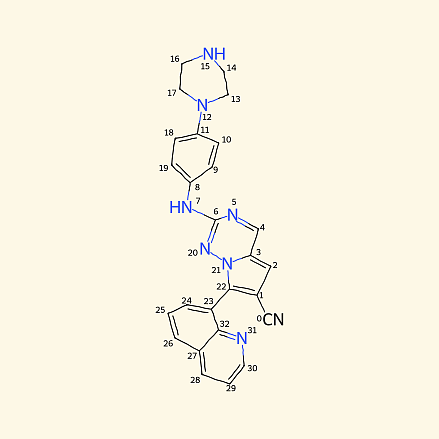 N#Cc1cc2cnc(Nc3ccc(N4CCNCC4)cc3)nn2c1-c1cccc2cccnc12